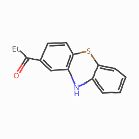 CCC(=O)c1ccc2c(c1)Nc1ccccc1S2